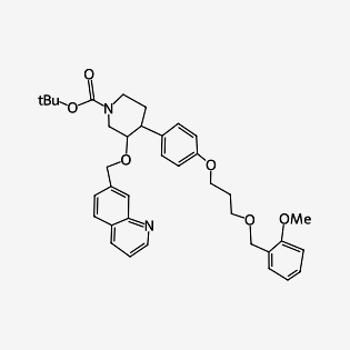 COc1ccccc1COCCCOc1ccc(C2CCN(C(=O)OC(C)(C)C)CC2OCc2ccc3cccnc3c2)cc1